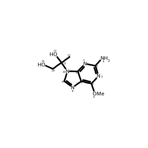 COc1nc(N)nc2c1ncn2C(C)(O)CO